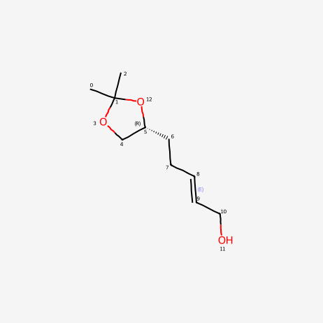 CC1(C)OC[C@@H](CC/C=C/CO)O1